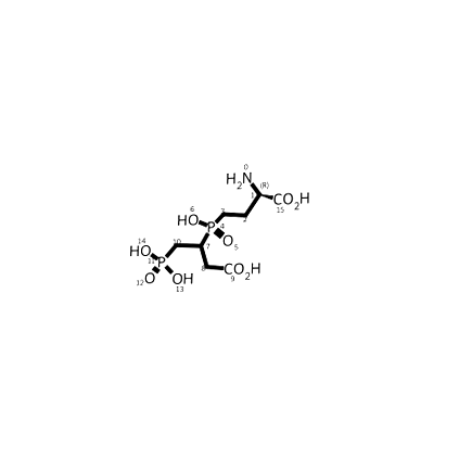 N[C@H](CCP(=O)(O)C(CC(=O)O)CP(=O)(O)O)C(=O)O